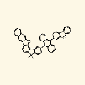 CC1(C)c2ccc(-c3c4ccccc4c(-c4ccc5c(c4)oc4ccccc45)c4ccccc34)cc2-c2c1ccc1c2oc2cc3ccccc3cc21